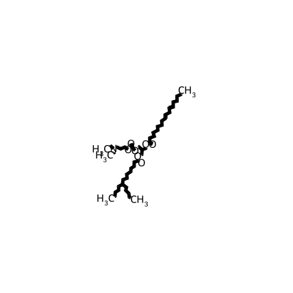 CCCCCC=CCC=CCCCCCCCC(=O)OCC(COC(=O)CCCCCCCC(CCCCC)CCCCC)COC(=O)OCCCN(CC)CC